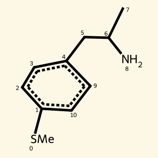 CSc1ccc(CC(C)N)cc1